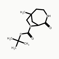 CC12CCNC(=O)C(C1)N(C(=O)OC(C)(C)C)C2